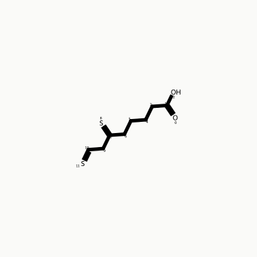 O=C(O)CCCCC(=S)CC=S